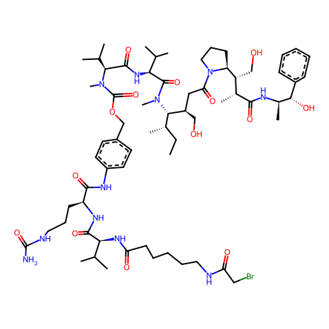 CC[C@H](C)[C@@H]([C@H](CO)CC(=O)N1CCC[C@H]1[C@H](CO)[C@@H](C)C(=O)N[C@H](C)[C@@H](O)c1ccccc1)N(C)C(=O)[C@@H](NC(=O)[C@H](C(C)C)N(C)C(=O)OCc1ccc(NC(=O)[C@H](CCCNC(N)=O)NC(=O)[C@@H](NC(=O)CCCCCNC(=O)CBr)C(C)C)cc1)C(C)C